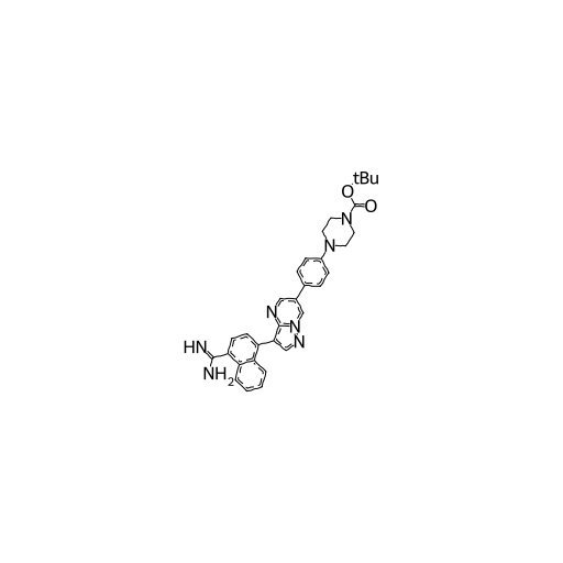 CC(C)(C)OC(=O)N1CCN(c2ccc(-c3cnc4c(-c5ccc(C(=N)N)c6ccccc56)cnn4c3)cc2)CC1